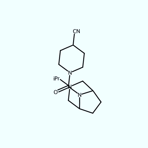 CC(C)N1CC2CCC(C1)N2C(=O)N1CCC(C#N)CC1